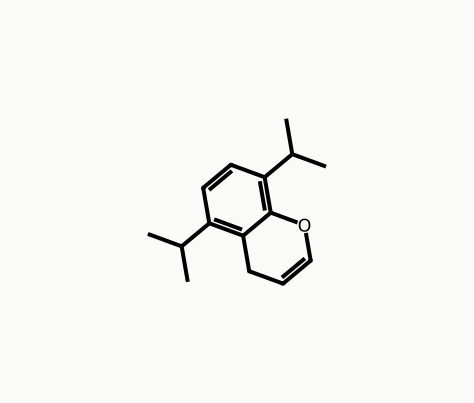 CC(C)c1ccc(C(C)C)c2c1CC=CO2